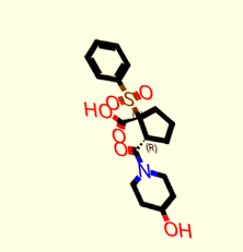 O=C([C@H]1CCC[C@@]1(C(=O)O)S(=O)(=O)c1ccccc1)N1CCC(O)CC1